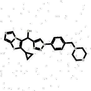 OC(c1cn(-c2ccc(CN3CCOCC3)cc2)nn1)c1c(C2CC2)sc2cncn12